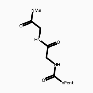 CCCCCC(=O)NCC(=O)NCC(=O)NC